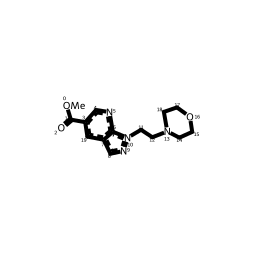 COC(=O)c1cnc2c(cnn2CCN2CCOCC2)c1